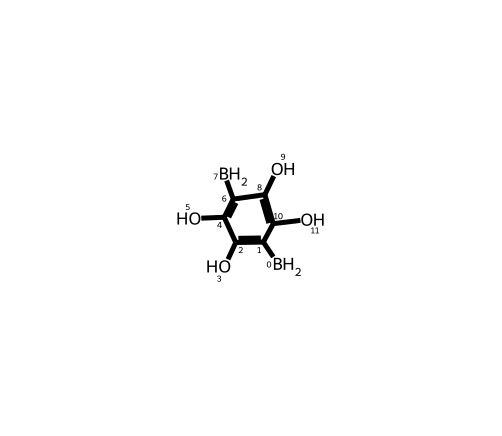 Bc1c(O)c(O)c(B)c(O)c1O